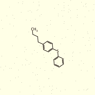 CCCCc1ccc(Sc2ccccc2)cc1